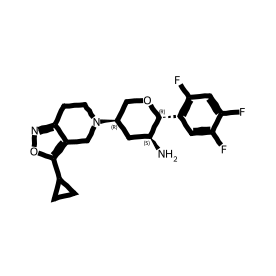 N[C@H]1C[C@@H](N2CCc3noc(C4CC4)c3C2)CO[C@@H]1c1cc(F)c(F)cc1F